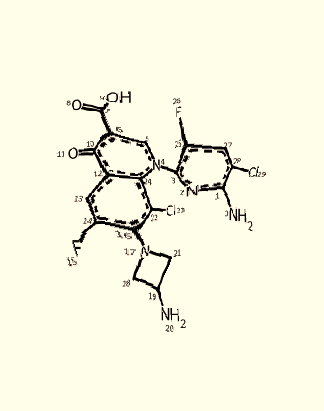 Nc1nc(-n2cc(C(=O)O)c(=O)c3cc(F)c(N4CC(N)C4)c(Cl)c32)c(F)cc1Cl